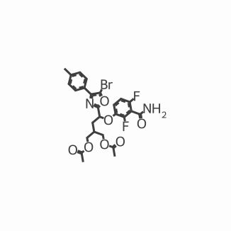 CC(=O)OCC(COC(C)=O)CC(Oc1ccc(F)c(C(N)=O)c1F)c1nc(-c2ccc(C)cc2)c(Br)o1